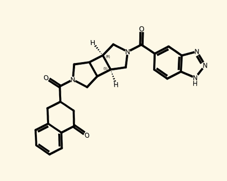 O=C1CC(C(=O)N2CC3C(C2)[C@@H]2CN(C(=O)c4ccc5[nH]nnc5c4)C[C@H]32)Cc2ccccc21